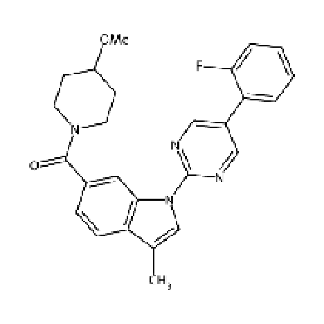 COC1CCN(C(=O)c2ccc3c(C)cn(-c4ncc(-c5ccccc5F)cn4)c3c2)CC1